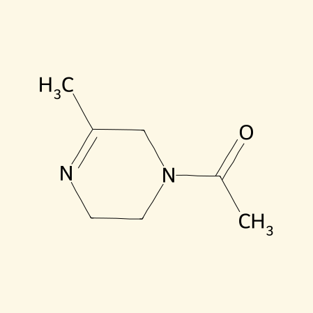 CC(=O)N1CCN=C(C)C1